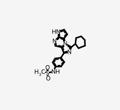 CS(=O)(=O)Nc1ccc(-c2nc(C3CCCCC3)n3c2cnc2[nH]ccc23)cc1